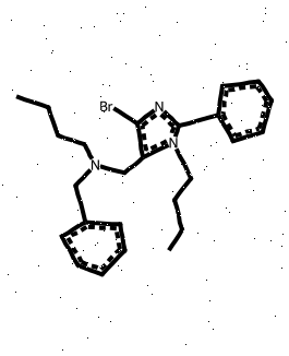 CCCCN(Cc1ccccc1)Cc1c(Br)nc(-c2ccccc2)n1CCCC